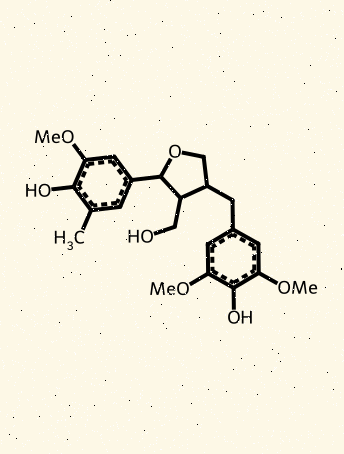 COc1cc(C2OCC(Cc3cc(OC)c(O)c(OC)c3)C2CO)cc(C)c1O